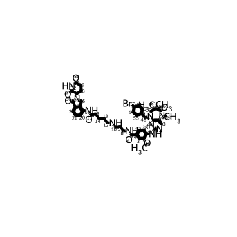 COc1cc(C(=O)NCCCNCCCCC(=O)Nc2cccc3c2CN(C2CCC(=O)NC2=O)C3=O)ccc1Nc1ncc2c(n1)N(Cc1ccc(Br)cc1)CC(C)(C)C(=O)N2C